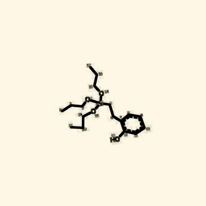 CCCO[Si](CCc1ccccc1O)(OCCC)OCCC